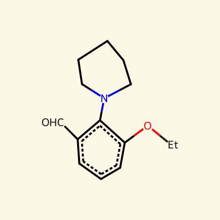 CCOc1cccc(C=O)c1N1CCCCC1